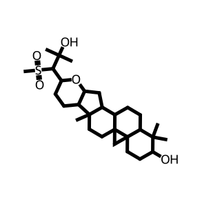 CC(C)(O)C(C1CCC2C(CC3C4CCC5C(C)(C)C(O)CCC56CC46CCC23C)O1)S(C)(=O)=O